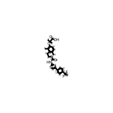 Cc1c(OC(C)(C)C(=O)O)ccc2c1CCN(C(=O)Nc1nc(-c3ccc(C(F)(F)F)cc3)cs1)C2